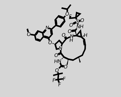 COc1ccc2c(O[C@@H]3CC4C(=O)N[C@]5(C(=O)NS(=O)(=O)C6(CF)CC6)C[C@H]5/C=C\CC[C@@H](C)C[C@@H](C)[C@H](NC(=O)OC(C)(C)C(F)(F)F)C(=O)N4C3)cc(-c3ccc(OC(C)C)cc3)nc2c1